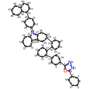 c1ccc(-c2nnc(-c3ccc(-c4ccccc4-c4ccccc4-c4ccc5c(c4)c4ccccc4n5-c4ccc(-c5cccc6ccccc56)cc4)cc3)o2)cc1